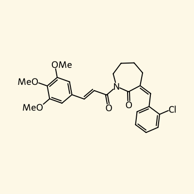 COc1cc(C=CC(=O)N2CCCCC(=Cc3ccccc3Cl)C2=O)cc(OC)c1OC